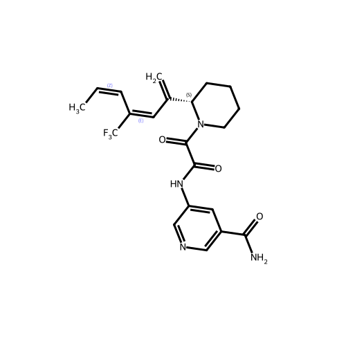 C=C(/C=C(\C=C/C)C(F)(F)F)[C@@H]1CCCCN1C(=O)C(=O)Nc1cncc(C(N)=O)c1